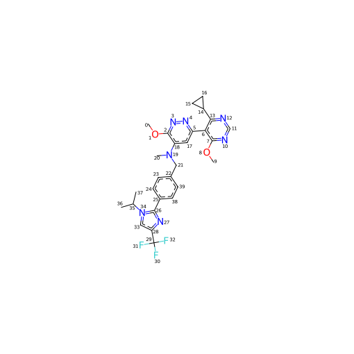 COc1nnc(-c2c(OC)ncnc2C2CC2)cc1N(C)Cc1ccc(-c2nc(C(F)(F)F)cn2C(C)C)cc1